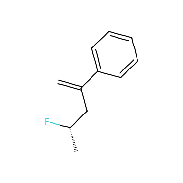 C=C(C[C@H](C)F)c1ccccc1